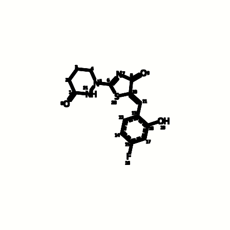 O=C1CCCN(C2=NC(=O)C(=Cc3ccc(F)cc3O)S2)N1